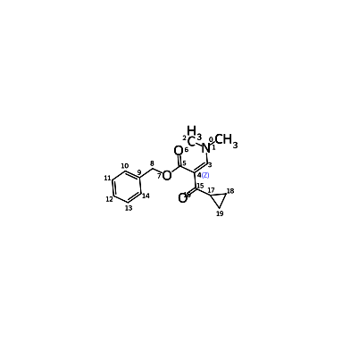 CN(C)/C=C(\C(=O)OCc1ccccc1)C(=O)C1CC1